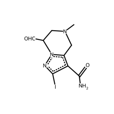 CN1Cc2c(C(N)=O)c(I)nn2C(C=O)C1